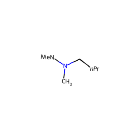 [CH2]NN(C)CCCC